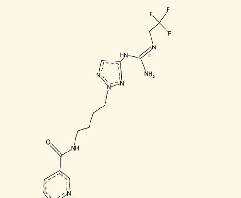 N/C(=N/CC(F)(F)F)Nc1cnn(CCCCNC(=O)c2cccnc2)n1